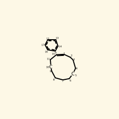 C1=CCCCCCCCCCC1.c1ccccc1